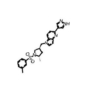 Cc1cccc(S(=O)(=O)N2C[C@@H](Cn3ccc4nc(-c5cn[nH]c5)ccc43)C[C@@H]2C)c1